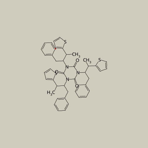 CC(c1cccs1)C(Cc1ccccc1)n1c(=O)n(C(Cc2ccccc2)C(C)c2cccs2)c(=O)n(C(Cc2ccccc2)C(C)c2cccs2)c1=O